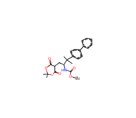 CC(C)(C)OC(=O)N[C@@H](CC1C(=O)OC(C)(C)OC1=O)C(C)(C)c1ccc(-c2ccccc2)cc1